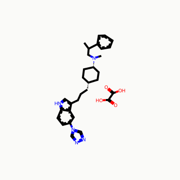 CC(CN(C)[C@H]1CC[C@@H](CCCc2c[nH]c3ccc(-n4cnnc4)cc23)CC1)c1ccccc1.O=C(O)C(=O)O